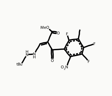 COC(=O)/C(=C/NNC(C)(C)C)C(=O)c1c(F)c(C)c(F)c(F)c1[N+](=O)[O-]